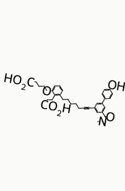 CN(C)C(=O)c1cc(C#CCCCCCc2cccc(OCCCC(=O)O)c2CCC(=O)O)cc(-c2ccc(O)cc2)c1